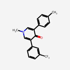 Cc1ccc(-c2cn(C)cc(-c3cccc(C(F)(F)F)c3)c2=O)cc1